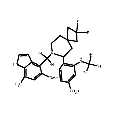 [2H]C([2H])([2H])Nc1cc(C(=O)O)ccc1C1CC2(CCN1C([2H])([2H])c1c(OC)cc(C)c3[nH]ccc13)CC(F)(F)C2